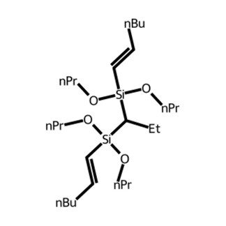 CCCCC=C[Si](OCCC)(OCCC)C(CC)[Si](C=CCCCC)(OCCC)OCCC